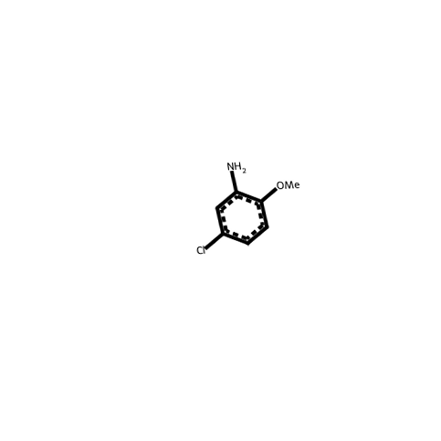 COc1c[c]c(Cl)cc1N